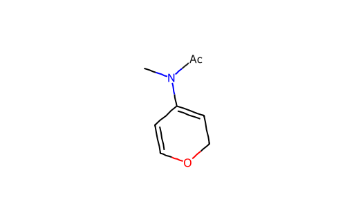 CC(=O)N(C)C1=CCOC=C1